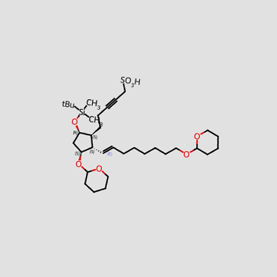 CC(C)(C)[Si](C)(C)O[C@@H]1C[C@H](OC2CCCCO2)[C@@H](/C=C/CCCCCCOC2CCCCO2)[C@@H]1CCC#CCS(=O)(=O)O